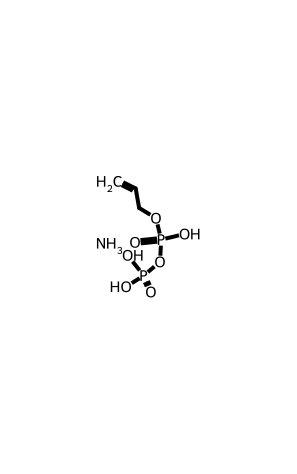 C=CCOP(=O)(O)OP(=O)(O)O.N